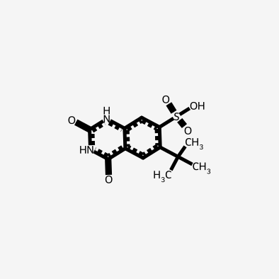 CC(C)(C)c1cc2c(=O)[nH]c(=O)[nH]c2cc1S(=O)(=O)O